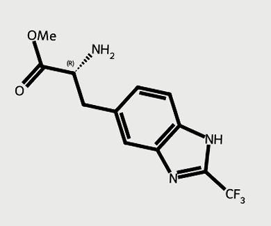 COC(=O)[C@H](N)Cc1ccc2[nH]c(C(F)(F)F)nc2c1